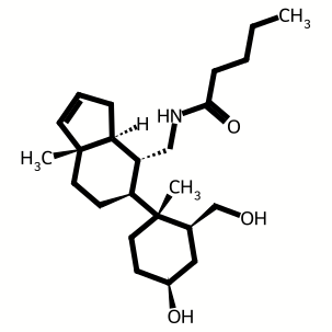 CCCCC(=O)NC[C@@H]1[C@@H]([C@@]2(C)CC[C@H](O)C[C@@H]2CO)CC[C@]2(C)C=CC[C@@H]12